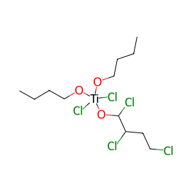 CCCC[O][Ti]([Cl])([Cl])([O]CCCC)[O]C(Cl)C(Cl)CCCl